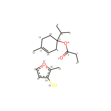 CCC(=O)OC1(C(C)C)CC=C(C)CC1.Cc1occc1S